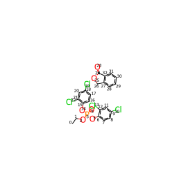 CCOP(=O)(Oc1ccc(Cl)cc1Cl)Oc1ccc(Cl)cc1Cl.O=C1OCc2ccccc21